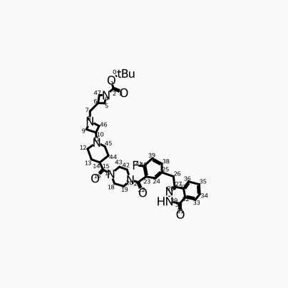 CC(C)(C)OC(=O)N1CC(CN2CC(N3CCC(C(=O)N4CCN(C(=O)c5cc(Cc6n[nH]c(=O)c7ccccc67)ccc5F)CC4)CC3)C2)C1